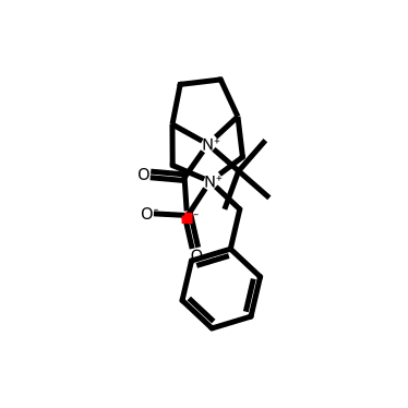 CC(C)(C)[N+]1(C(=O)[O-])C2CCC1C[N+](Cc1ccccc1)(C(=O)[O-])C2